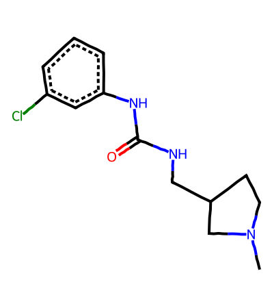 CN1CCC(CNC(=O)Nc2cccc(Cl)c2)C1